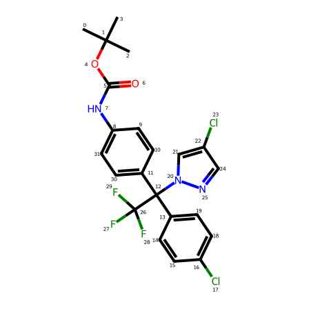 CC(C)(C)OC(=O)Nc1ccc(C(c2ccc(Cl)cc2)(n2cc(Cl)cn2)C(F)(F)F)cc1